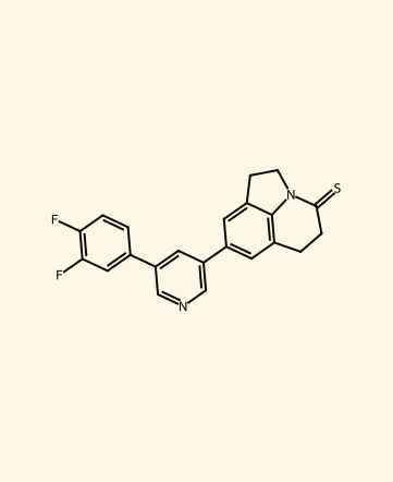 Fc1ccc(-c2cncc(-c3cc4c5c(c3)CCN5C(=S)CC4)c2)cc1F